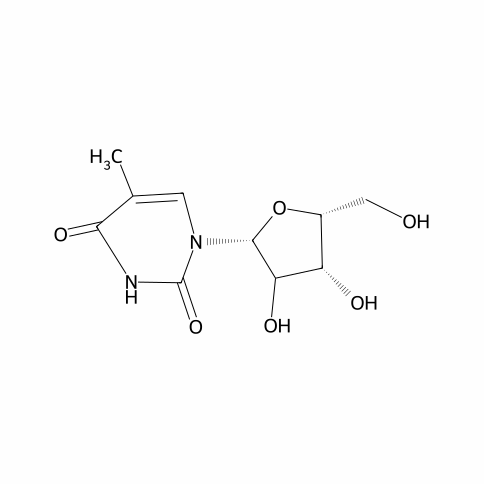 Cc1cn([C@@H]2O[C@H](CO)[C@H](O)C2O)c(=O)[nH]c1=O